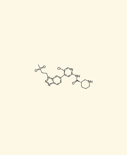 CS(=O)(=O)CCn1nnc2ccc(-c3cc(NC(=O)[C@@H]4CCCNC4)ncc3Cl)cc21